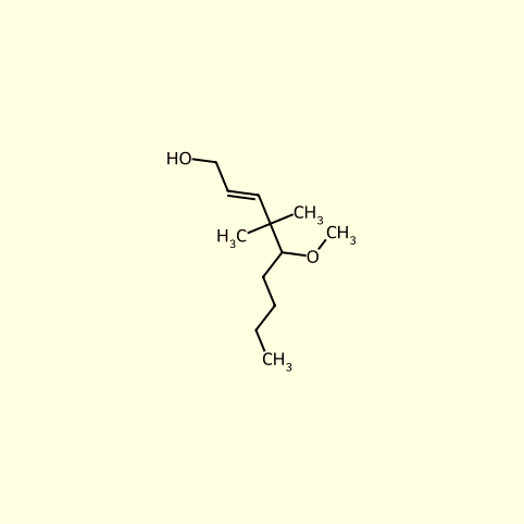 CCCCC(OC)C(C)(C)C=CCO